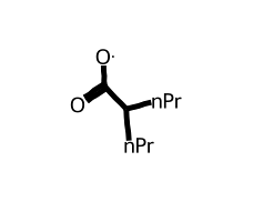 CCCC(CCC)C([O])=O